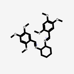 COc1cc(/C=N/C2CCCCC2/N=C/c2cc(OC)c(OC)cc2SC)c(SC)cc1OC